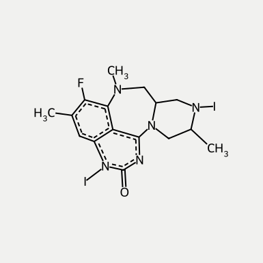 Cc1cc2c3c(nc(=O)n2I)N2CC(C)N(I)CC2CN(C)c3c1F